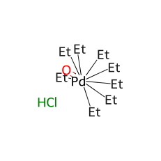 C[CH2][Pd](=[O])([CH2]C)([CH2]C)([CH2]C)([CH2]C)([CH2]C)([CH2]C)[CH2]C.Cl